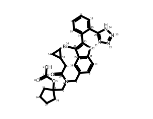 O=C(O)OC1(CN(Cc2ccc3sc(-c4ccccc4-c4nnn[nH]4)c(Br)c3c2)C(=O)CC2CC2)CCCC1